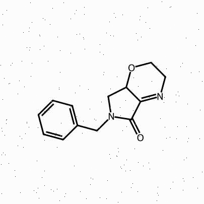 O=C1C2=NCCOC2CN1Cc1ccccc1